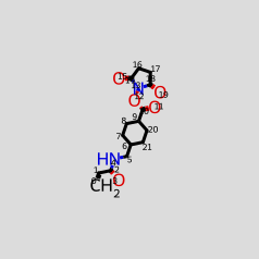 C=CC(=O)NCC1CCC(C(=O)ON2C(=O)CCC2=O)CC1